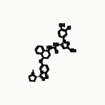 CN1CCC[C@H]1c1nnc2ccc(O[C@@H]3CC[C@H](NC(=O)Nc4cc(C(C)(C)C)nn4-c4ccc(O)c(Cl)c4)c4ccccc43)cn12